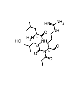 CCC(=O)N(C(=O)[C@H](CC(C)C)NC(=O)[C@@H](N)CC(C)C)[C@H](C=O)CCCNC(=N)N.Cl